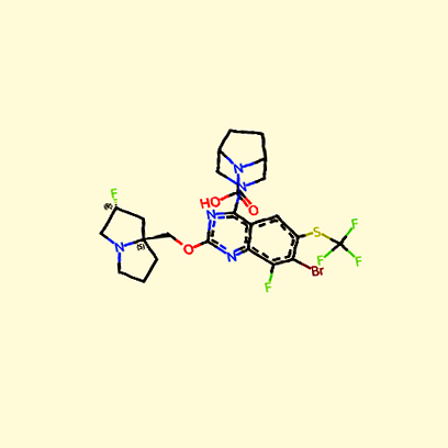 O=C(O)N1C2CCC1CN(c1nc(OC[C@@]34CCCN3C[C@H](F)C4)nc3c(F)c(Br)c(SC(F)(F)F)cc13)C2